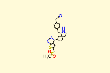 CS(=O)(=O)Cc1cc2c(C3CCC4(CCNC4Cc4ccc(CC#N)cc4)C3)ncnc2s1